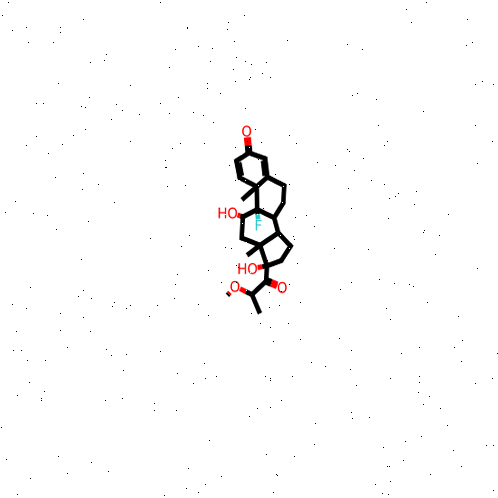 COC(C)C(=O)C1(O)CCC2C3CCC4=CC(=O)C=CC4(C)C3(F)C(O)CC21C